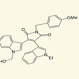 CCn1cc(C2=C(c3cn(CO)c4ccccc34)C(=O)N(Cc3ccc(OC)cc3)C2=O)c2ccccc21